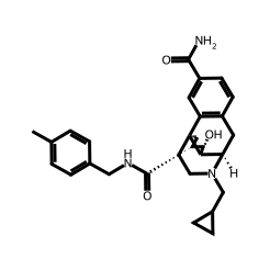 Cc1ccc(CNC(=O)[C@@H]2C[C@]34CCN(CC5CC5)[C@H](Cc5ccc(C(N)=O)cc53)[C@]4(O)C2)cc1